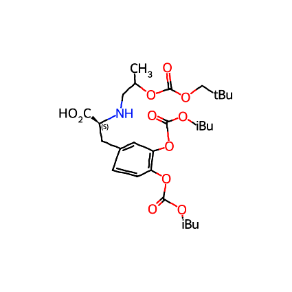 CCC(C)OC(=O)Oc1ccc(C[C@H](NCC(C)OC(=O)OCC(C)(C)C)C(=O)O)cc1OC(=O)OC(C)CC